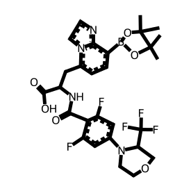 CC1(C)OB(c2ccc(CC(NC(=O)c3c(F)cc(N4CCOCC4C(F)(F)F)cc3F)C(=O)O)n3ccnc23)OC1(C)C